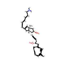 Cc1cccc(C[C@H](O)/C=C/[C@@H]2[C@H]3CC(/C=C\CCCCN(C)C)=C[C@H]3C[C@H]2O)c1